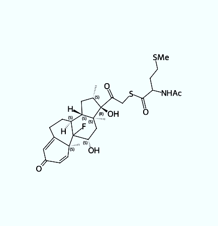 CSCCC(NC(C)=O)C(=O)SCC(=O)[C@@]1(O)[C@@H](C)C[C@H]2[C@@H]3CCC4=CC(=O)C=C[C@]4(C)C3(F)[C@@H](O)C[C@@]21C